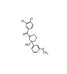 COc1cccc(C2(O)CCCN(C(=O)c3ccc(Cl)c(Cl)c3)C2)c1